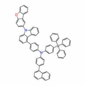 c1ccc([Si](c2ccccc2)(c2ccccc2)c2ccc(N(c3ccc(-c4cccc5ccccc45)cc3)c3ccc(-c4cccc5c4c4ccccc4n5-c4ccc5oc6ccccc6c5c4)cc3)cc2)cc1